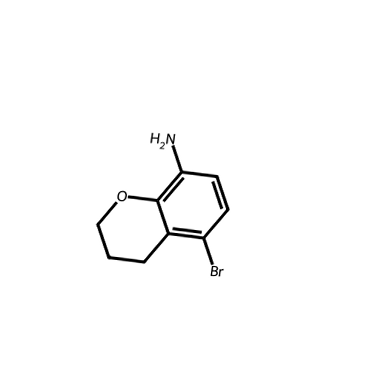 Nc1ccc(Br)c2c1OCCC2